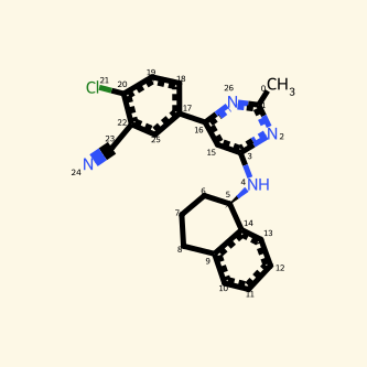 Cc1nc(N[C@@H]2CCCc3ccccc32)cc(-c2ccc(Cl)c(C#N)c2)n1